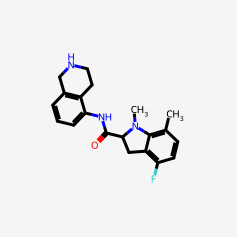 Cc1ccc(F)c2c1N(C)C(C(=O)Nc1cccc3c1CCNC3)C2